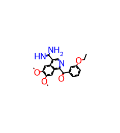 CCOc1cccc(C(=O)c2ncc(C(=N)N)c3cc(OC)c(OC)cc23)c1